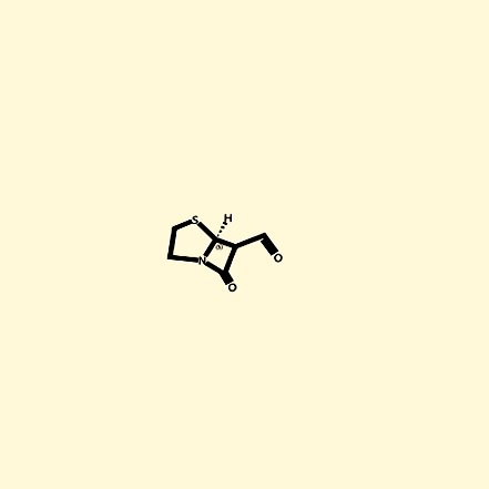 O=CC1C(=O)N2CCS[C@@H]12